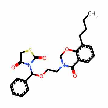 CCCCc1cccc2c1OCN(CCOC(c1ccccc1)N1C(=O)CSC1=O)C2=O